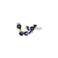 N#Cc1ccc(COc2cccc(C3CCN(Cc4nc5cc(C6(C(=O)O)CC6)ccc5n4CC4CCO4)CC3)n2)c(F)c1